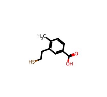 Cc1ccc(C(=O)O)cc1CCS